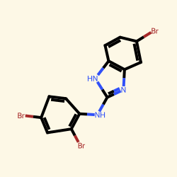 Brc1ccc(Nc2nc3cc(Br)ccc3[nH]2)c(Br)c1